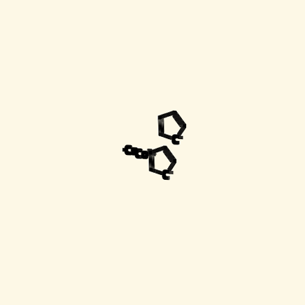 [Co+2].[Co].c1cc[cH-]c1.c1cc[cH-]c1